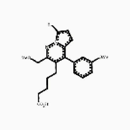 CCOC(=O)CCCCc1c(COC)nn2c(CC)ccc2c1-c1cccc(OC)c1